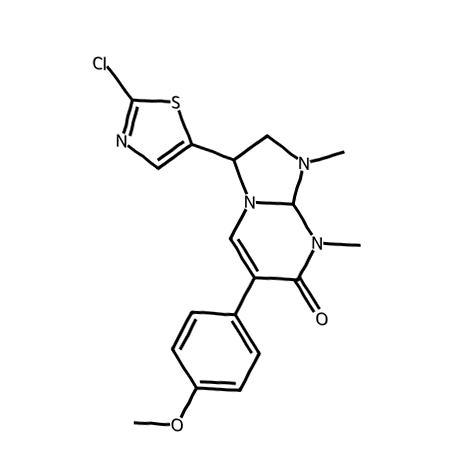 COc1ccc(C2=CN3C(c4cnc(Cl)s4)CN(C)C3N(C)C2=O)cc1